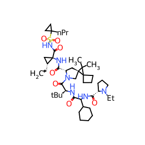 C=C[C@@H]1C[C@]1(NC(=O)[C@@H]1C[C@@]2(CN1C(=O)[C@@H](NC(=O)[C@@H](NC(=O)[C@@H]1CCCN1CC)C1CCCCC1)C(C)(C)C)C(C)(C)C21CCC1)C(=O)NS(=O)(=O)C1(CCC)CC1